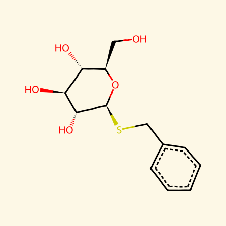 OC[C@H]1O[C@@H](SCc2ccccc2)[C@H](O)[C@@H](O)[C@@H]1O